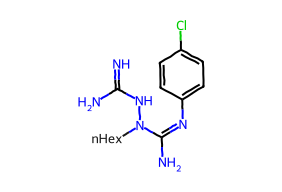 CCCCCCN(NC(=N)N)C(N)=Nc1ccc(Cl)cc1